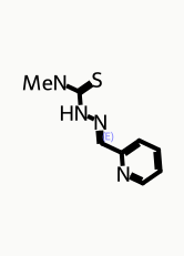 CNC(=S)N/N=C/c1ccccn1